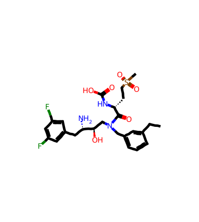 CCc1cccc(CN(C[C@@H](O)[C@@H](N)Cc2cc(F)cc(F)c2)C(=O)[C@@H](CCS(C)(=O)=O)NC(=O)O)c1